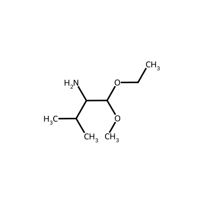 CCOC(OC)C(N)C(C)C